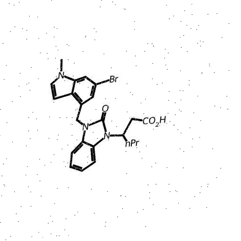 CCCC(CC(=O)O)n1c(=O)n(Cc2cc(Br)cc3c2ccn3C)c2ccccc21